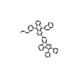 C/C=C\C=C/c1cccc(-c2c3ccccc3c(-c3ccc4ccccc4c3)c3cc(-c4ccc5c(c4)c4ccccc4n4c(-c6ccccc6)c(-c6ccccc6)nc54)ccc23)c1